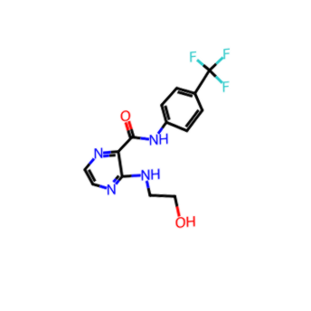 O=C(Nc1ccc(C(F)(F)F)cc1)c1nccnc1NCCO